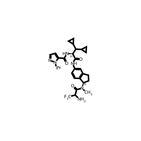 CC(C)n1nccc1C(=O)N[C@H](C(=O)Nc1ccc2c(c1)CC[C@H]2N(C)C(=O)C(N)C(F)(F)F)C(C1CC1)C1CC1